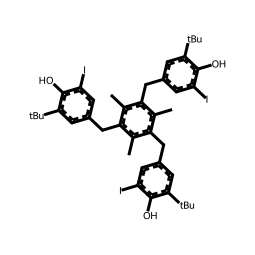 Cc1c(Cc2cc(I)c(O)c(C(C)(C)C)c2)c(C)c(Cc2cc(I)c(O)c(C(C)(C)C)c2)c(C)c1Cc1cc(I)c(O)c(C(C)(C)C)c1